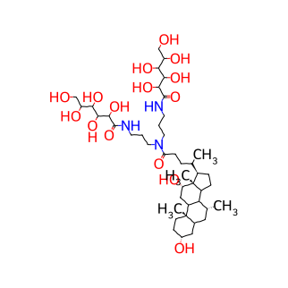 CC(CCC(=O)N(CCCNC(=O)C(O)C(O)C(O)C(O)CO)CCCNC(=O)C(O)C(O)C(O)C(O)CO)[C@H]1CCC2C3C(C[C@H](O)[C@@]21C)[C@@]1(C)CC[C@@H](O)CC1C[C@H]3C